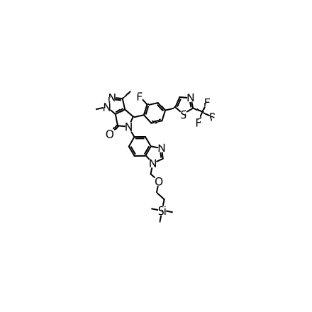 Cc1nn(C)c2c1C(c1ccc(-c3cnc(C(F)(F)F)s3)cc1F)N(c1ccc3c(c1)ncn3COCC[Si](C)(C)C)C2=O